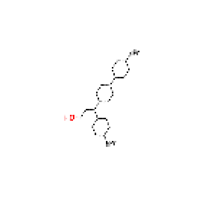 CCCC1CCC(C2CCC(C(CCO)C3CCC(CCC)CC3)CC2)CC1